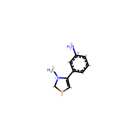 CN1CSC=C1c1cccc(N)c1